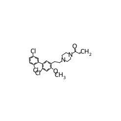 C=CC(=O)N1CCN(CCc2cc(-c3cc(Cl)ccc3Cl)c(Cl)cc2OC)CC1